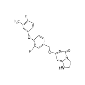 O=c1nc(OCc2ccc(Oc3ccc(F)c(C(F)(F)F)c3)c(F)c2)cc2n1CCN2